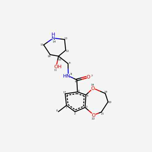 Cc1cc2c(c(C(=O)NCC3(O)CCNCC3)c1)OCCCO2